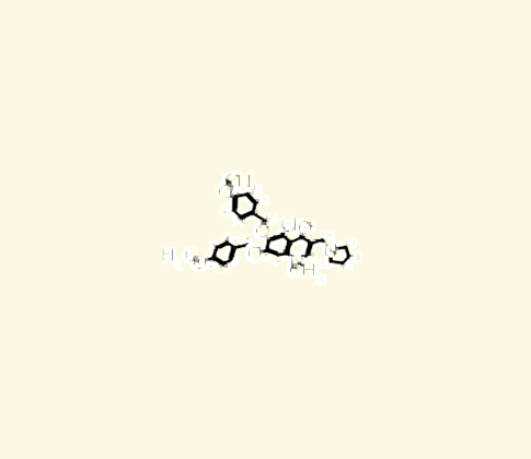 COc1ccc(COc2cc3c(c(Cl)c2OCc2ccc(OC)cc2)c(=O)c(CN2CCCC2)cn3C)cc1